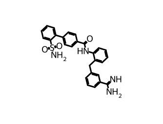 N=C(N)c1cccc(Cc2ccccc2NC(=O)c2ccc(-c3ccccc3S(N)(=O)=O)cc2)c1